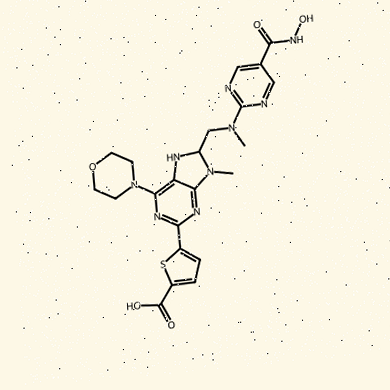 CN(CC1Nc2c(N3CCOCC3)nc(-c3ccc(C(=O)O)s3)nc2N1C)c1ncc(C(=O)NO)cn1